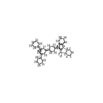 CC1(C)c2ccccc2-c2c1n(-c1ccc(-c3cc(-c4ccccc4)nc(-c4ccccc4)c3)cc1)c1ccccc21